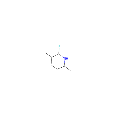 CC1CCC(C)C(F)N1